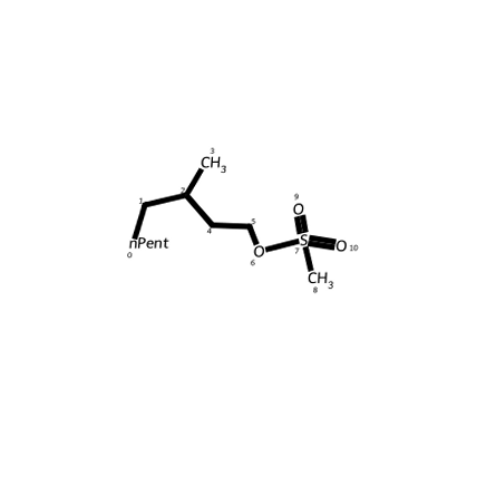 CCCCCCC(C)CCOS(C)(=O)=O